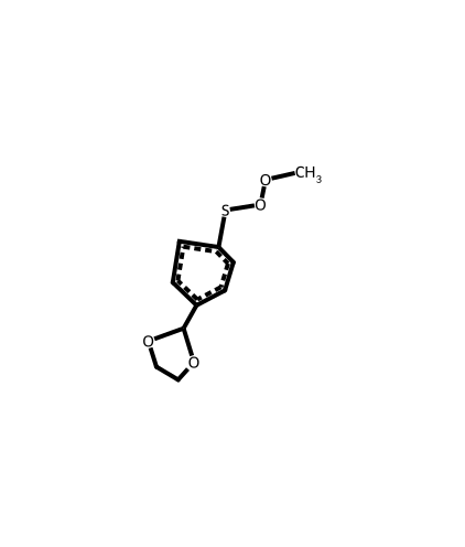 COOSc1ccc(C2OCCO2)cc1